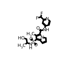 Cc1c(S(=O)(=O)NC(C)CO)c2n(c1C(=O)Nc1ccnc(C(F)F)c1)CC=C2